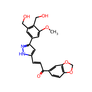 COc1cc(-c2cc(/C=C/C(=O)c3ccc4c(c3)OCO4)[nH]n2)cc(CO)c1CO